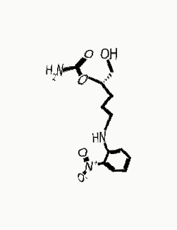 NC(=O)O[C@H](CO)CCCNc1ccccc1[N+](=O)[O-]